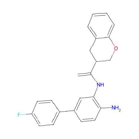 C=C(Nc1cc(-c2ccc(F)cc2)ccc1N)C1COc2ccccc2C1